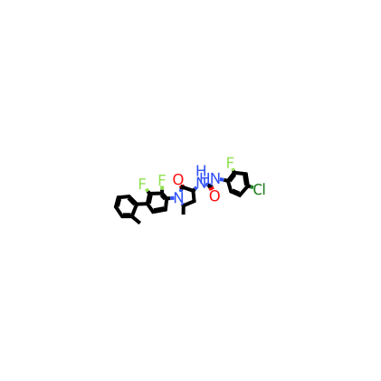 Cc1ccccc1-c1ccc(N2C(=O)C(NC(=O)Nc3ccc(Cl)cc3F)CC2C)c(F)c1F